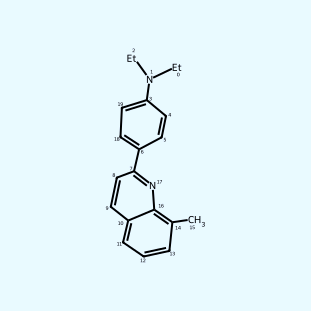 CCN(CC)c1ccc(-c2ccc3cccc(C)c3n2)cc1